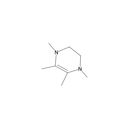 CC1=C(C)N(C)CCN1C